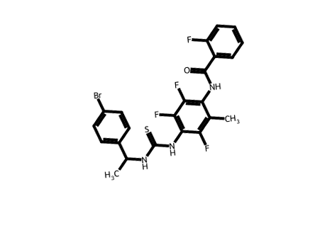 Cc1c(F)c(NC(=S)NC(C)c2ccc(Br)cc2)c(F)c(F)c1NC(=O)c1ccccc1F